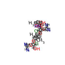 Cc1c(COc2cc(OCc3cncc(C4=NC4)c3)c(CO)cc2Cl)cccc1-c1cccc(COc2cc(OCc3cncc(C4=NC4)c3)c(CN[C@H](C(=O)O)[C@@H](C)[C@H](C)O)cc2Cl)c1C